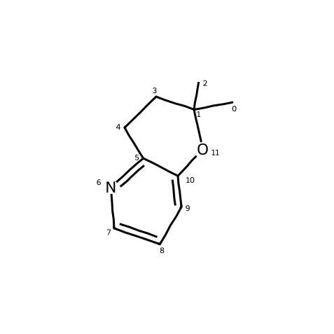 CC1(C)CCc2ncccc2O1